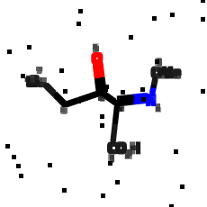 CON=C(C(=O)O)C(=O)CC(C)(C)C